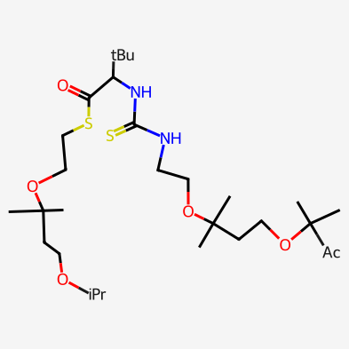 CC(=O)C(C)(C)OCCC(C)(C)OCCNC(=S)NC(C(=O)SCCOC(C)(C)CCOC(C)C)C(C)(C)C